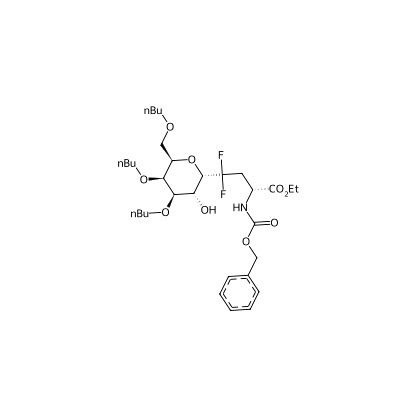 CCCCOC[C@H]1O[C@H](C(F)(F)C[C@@H](NC(=O)OCc2ccccc2)C(=O)OCC)[C@H](O)[C@@H](OCCCC)[C@H]1OCCCC